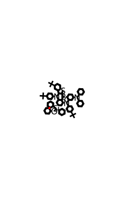 CC(C)(C)c1ccc(N2c3cc(N(c4ccccc4)c4ccccc4)ccc3B3c4sc5ccc(C(C)(C)C)cc5c4N(c4ccc(C(C)(C)C)cc4)c4cc([Si](Oc5ccccc5)(c5ccccc5)c5ccccc5)cc2c43)cc1